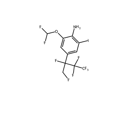 Nc1c(I)cc(C(F)(CF)C(F)(F)C(F)(F)F)cc1OC(F)F